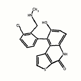 CNCc1c(Cl)cccc1-c1c(O)ccc2[nH]c(=O)c3sccc3c12